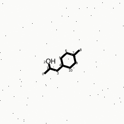 CC(O)CC1CCC(C)CC1